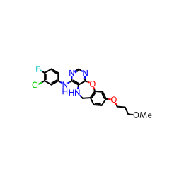 COCCCOc1ccc2c(c1)Oc1ncnc(Nc3ccc(F)c(Cl)c3)c1NC2